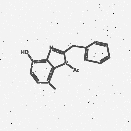 CC(=O)n1c(Cc2ccccc2)nc2c(O)ccc(C)c21